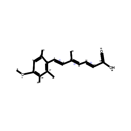 COc1cc(C)c(/C=C/C(C)=C/C=C/C(=O)O)c(C)c1C